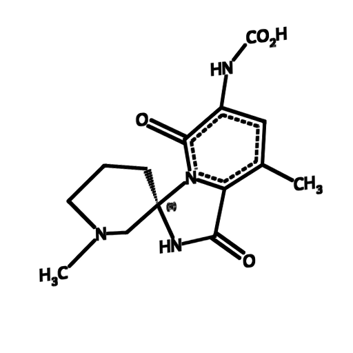 Cc1cc(NC(=O)O)c(=O)n2c1C(=O)N[C@]21CCCN(C)C1